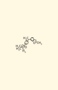 CC1Cc2ccc(C(C)N3CCN(C(=O)OC(C)(C)C)CC3)cc2O1